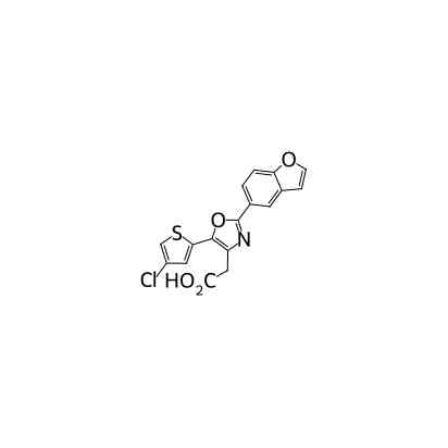 O=C(O)Cc1nc(-c2ccc3occc3c2)oc1-c1cc(Cl)cs1